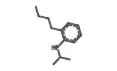 CCCCc1ccccc1PC(C)C